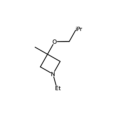 CCN1CC(C)(OCC(C)C)C1